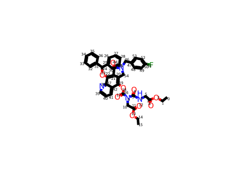 CCOC(=O)CNC(=O)N(CC(=O)OCC)C(=O)Oc1c2c(c(OC(c3ccccc3)c3ccccc3)c3ncccc13)C(=O)N(Cc1ccc(F)cc1)C2